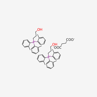 Cc1ccccc1[P+](CCCO)(c1ccccc1C)c1ccccc1C.Cc1ccccc1[P+](CCCO)(c1ccccc1C)c1ccccc1C.O=C([O-])CCC(=O)[O-]